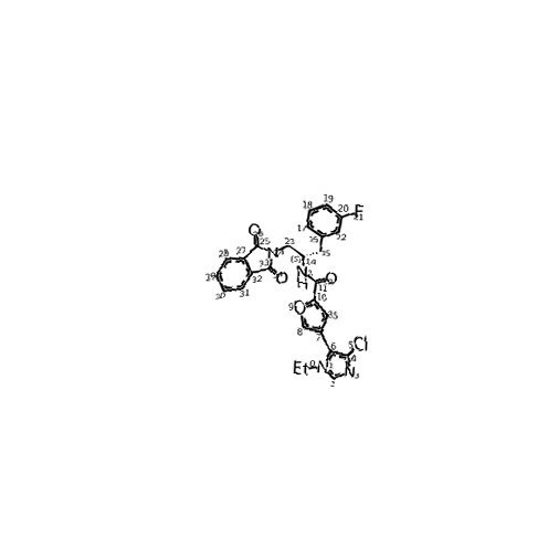 CCn1cnc(Cl)c1-c1coc(C(=O)N[C@@H](Cc2cccc(F)c2)CN2C(=O)c3ccccc3C2=O)c1